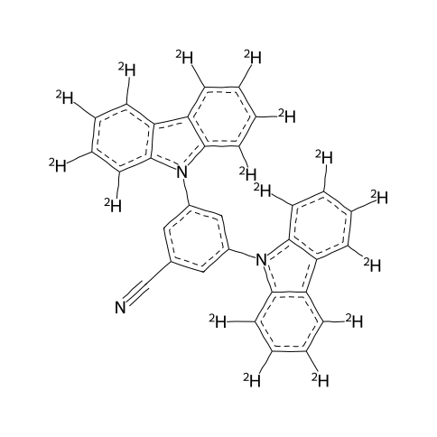 [2H]c1c([2H])c([2H])c2c(c1[2H])c1c([2H])c([2H])c([2H])c([2H])c1n2-c1cc(C#N)cc(-n2c3c([2H])c([2H])c([2H])c([2H])c3c3c([2H])c([2H])c([2H])c([2H])c32)c1